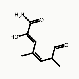 CC(=CC(C)C=O)C=C(O)C(N)=O